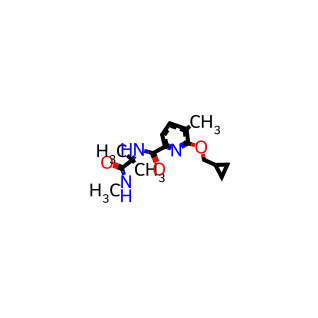 CNC(=O)C(C)(C)NC(=O)c1ccc(C)c(OCC2CC2)n1